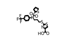 O=C(O)c1csc(SCCCN(c2ccc(C(F)(F)F)cc2)S(=O)(=O)c2cccs2)n1